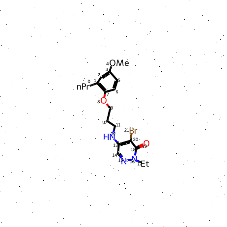 CCCc1cc(OC)ccc1OCCCNc1cnn(CC)c(=O)c1Br